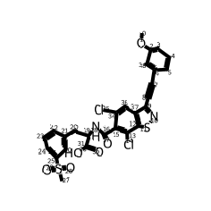 COc1cccc(C#Cc2nsc3c(Cl)c(C(=O)NC(Cc4cccc(S(C)(=O)=O)c4)C(=O)O)c(Cl)cc23)c1